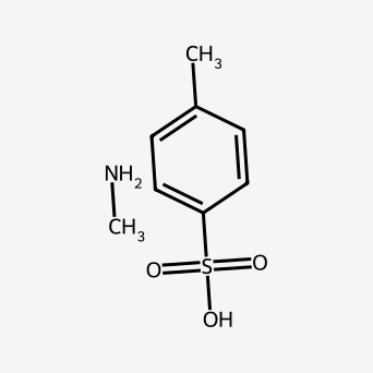 CN.Cc1ccc(S(=O)(=O)O)cc1